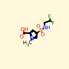 Cn1cc(S(=O)(=O)NCC(F)F)cc1C(=O)O